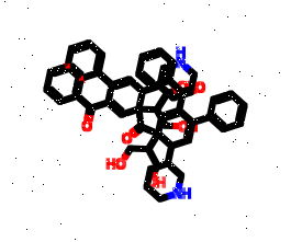 O=C(C1=CC(C(=O)C2(C(CO)CO)C=C(C(=O)c3ccccc3)C(c3ccccc3)=CC2C2CCCNC2)(C(CO)CO)C(C2CCCNC2)C=C1c1ccccc1)c1ccccc1